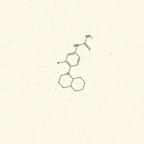 NC(=S)Nc1ccc(N2CCCC3CCCCC32)c(F)c1